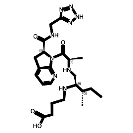 CC[C@H](C)[C@H](CN[C@H](C)C(=O)N1c2ncccc2C[C@H]1C(=O)NCc1nn[nH]n1)NCCCC(=O)O